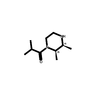 CC(C)C(=O)N1CCN[C@@H](C)[C@H]1C